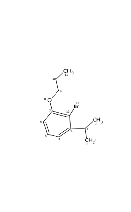 [CH2]C(C)c1cccc(OCCC)c1Br